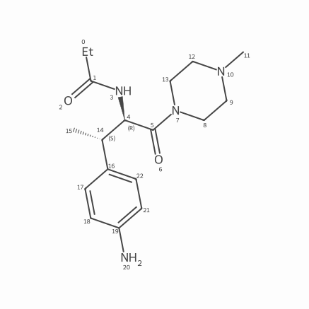 CCC(=O)N[C@@H](C(=O)N1CCN(C)CC1)[C@@H](C)c1ccc(N)cc1